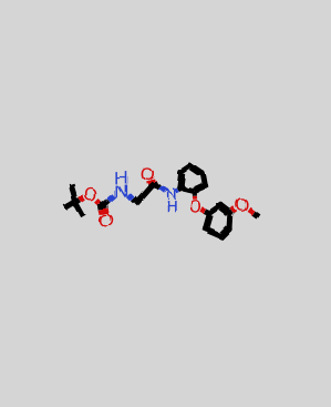 COc1cccc(Oc2ccccc2NC(=O)CNC(=O)OC(C)(C)C)c1